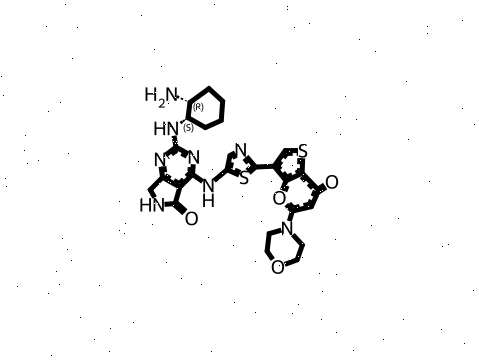 N[C@@H]1CCCC[C@@H]1Nc1nc2c(c(Nc3cnc(-c4csc5c(=O)cc(N6CCOCC6)oc45)s3)n1)C(=O)NC2